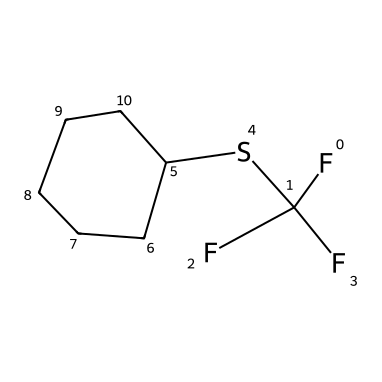 FC(F)(F)SC1CCCCC1